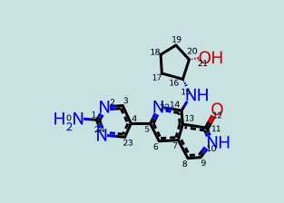 Nc1ncc(-c2cc3cc[nH]c(=O)c3c(N[C@@H]3CCC[C@@H]3O)n2)cn1